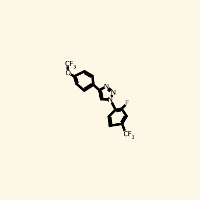 Fc1cc(C(F)(F)F)ccc1-n1cc(-c2ccc(OC(F)(F)F)cc2)nn1